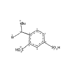 CC(C)(C)C(Br)c1ccc(S(=O)(=O)O)cc1S(=O)(=O)O